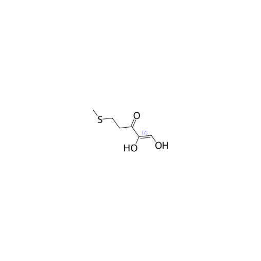 CSCCC(=O)/C(O)=C/O